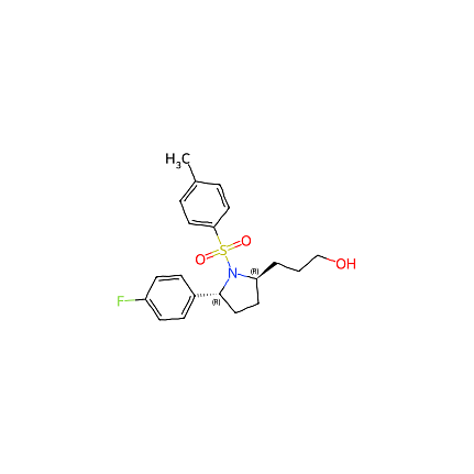 Cc1ccc(S(=O)(=O)N2[C@@H](CCCO)CC[C@@H]2c2ccc(F)cc2)cc1